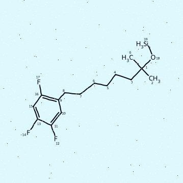 CC(C)(CCCCCCc1cc(F)c(F)cc1F)O[SiH3]